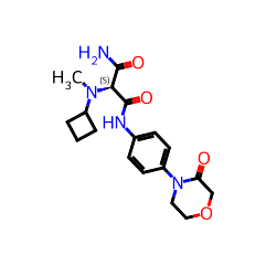 CN(C1CCC1)[C@@H](C(N)=O)C(=O)Nc1ccc(N2CCOCC2=O)cc1